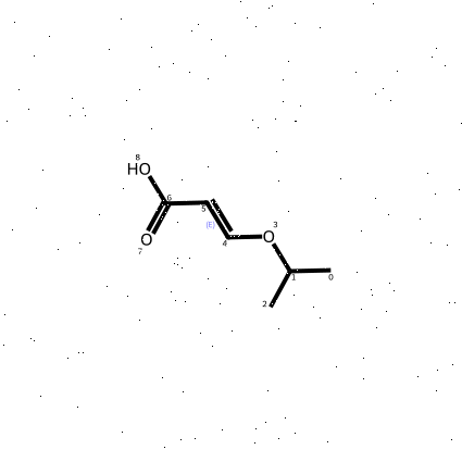 CC(C)O/C=C/C(=O)O